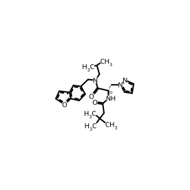 CC(C)CN(Cc1ccc2occc2c1)C(=O)[C@H](Cn1cccn1)NC(=O)CC(C)(C)C